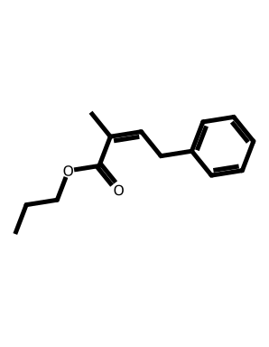 CCCOC(=O)C(C)=CCc1ccccc1